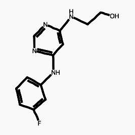 OCCNc1cc(Nc2cccc(F)c2)ncn1